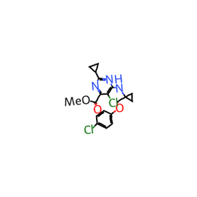 COC(=O)c1nc(C2CC2)nc(NC2(COc3ccc(Cl)cc3)CC2)c1Cl